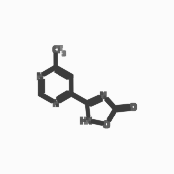 O=c1nc(-c2cc(C(F)(F)F)ncn2)[nH]o1